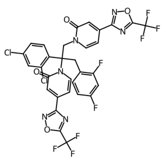 O=c1cc(-c2noc(C(F)(F)F)n2)ccn1CC(Cc1ccc(F)cc1F)(c1ccc(Cl)cc1Cl)n1ccc(-c2noc(C(F)(F)F)n2)cc1=O